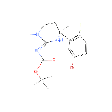 CN1CC[C@@](C)(c2cc(Br)ccc2F)N/C1=N\C(=O)OC(C)(C)C